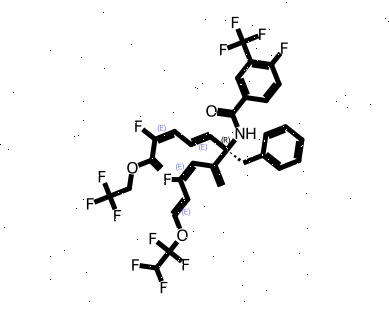 C=C(OCC(F)(F)F)/C(F)=C\C=C\[C@@](Cc1ccccc1)(NC(=O)c1ccc(F)c(C(F)(F)F)c1)C(=C)/C=C(F)\C=C\OC(F)(F)C(F)F